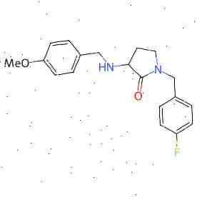 COc1ccc(CNC2CCN(Cc3ccc(F)cc3)C2=O)cc1